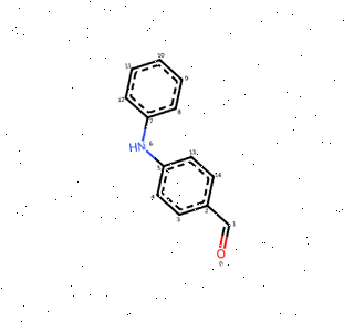 O=Cc1ccc(Nc2ccccc2)cc1